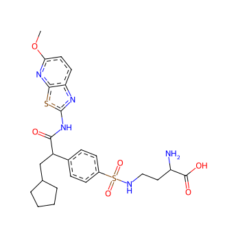 COc1ccc2nc(NC(=O)C(CC3CCCC3)c3ccc(S(=O)(=O)NCCC(N)C(=O)O)cc3)sc2n1